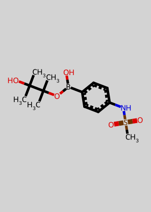 CC(C)(O)C(C)(C)OB(O)c1ccc(NS(C)(=O)=O)cc1